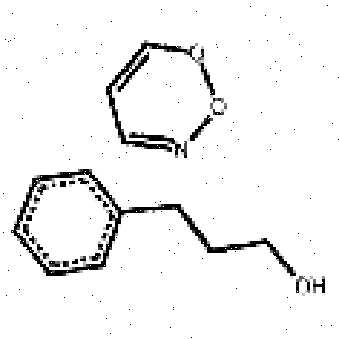 C1=COON=C1.OCCCc1ccccc1